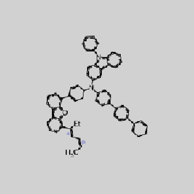 C/C=C\C=C(/CC)c1cccc2c1oc1c(C3=CCC(N(c4ccc(-c5ccc(C6=CCCC=C6)cc5)cc4)c4ccc5c(c4)c4ccccc4n5-c4ccccc4)C=C3)cccc12